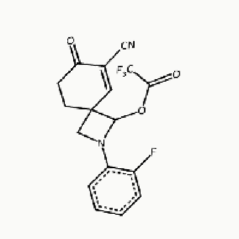 N#CC1=CC2(CCC1=O)CN(c1ccccc1F)C2OC(=O)C(F)(F)F